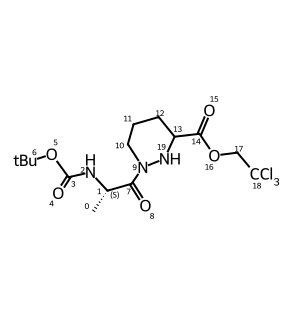 C[C@H](NC(=O)OC(C)(C)C)C(=O)N1CCCC(C(=O)OCC(Cl)(Cl)Cl)N1